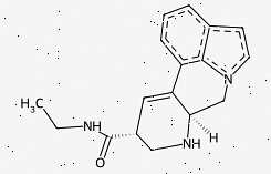 CCNC(=O)[C@@H]1C=C2c3cccc4ccn(c34)C[C@H]2NC1